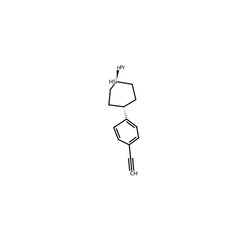 C#Cc1ccc([C@H]2CC[Si@H](CCC)CC2)cc1